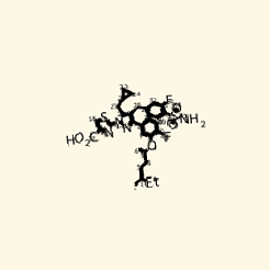 CC/C(C)=C\C=C(/C)Oc1cc(-c2nn(-c3nc(C(=O)O)cs3)c(CC3CC3)c2Cc2ccc(S(N)(=O)=O)c(F)c2)ccc1F